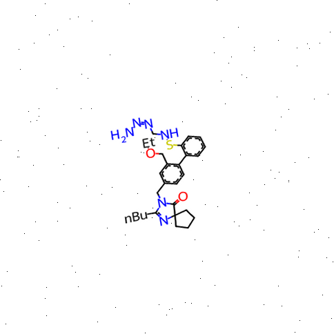 CCCCC1=NC2(CCCC2)C(=O)N1Cc1ccc(-c2ccccc2SNC/N=N\N)c(COCC)c1